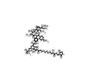 CC[C@H](C)[C@@H]([C@@H](CC(C)=O)OC)N(C)C(=O)[C@@H](NC(=O)[C@H](C(C)C)N(C)C(=O)OC(C(=O)N1CCN(C)CC1)c1ccc(NC(=O)[C@H](CCCNC(N)=O)NC(=O)[C@@H](NC(=O)CCOCCOCCNC(=O)CCN2C(=O)CCC2=O)C(C)C)cc1)C(C)C